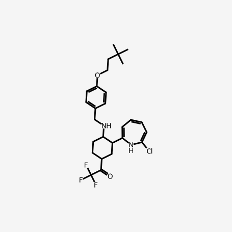 CC(C)(C)CCOc1ccc(CNC2CCC(C(=O)C(F)(F)F)CC2C2=CC=CC=C(Cl)N2)cc1